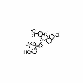 COC(=O)c1ccc2c(c1)N(C[C@@H]1CC[C@H]1[C@H](O[Si](C)(C)C(C)(C)C)[C@@H]1CCC[C@@H](O)C1)CC1(CCCc3cc(Cl)ccc31)CO2